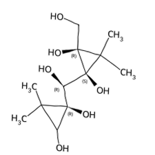 CC1(C)C(O)[C@@]1(O)[C@@H](O)[C@@]1(O)C(C)(C)[C@@]1(O)CO